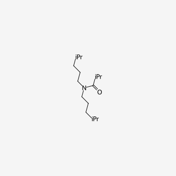 CC(C)CCCN(CCCC(C)C)C(=O)C(C)C